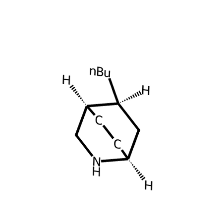 CCCC[C@H]1C[C@@H]2CC[C@H]1CN2